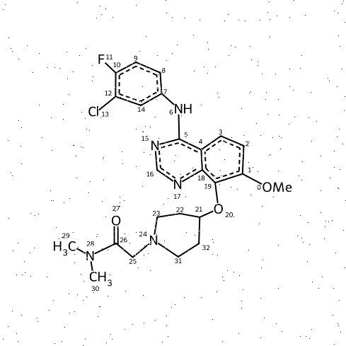 COc1ccc2c(Nc3ccc(F)c(Cl)c3)ncnc2c1OC1CCN(CC(=O)N(C)C)CC1